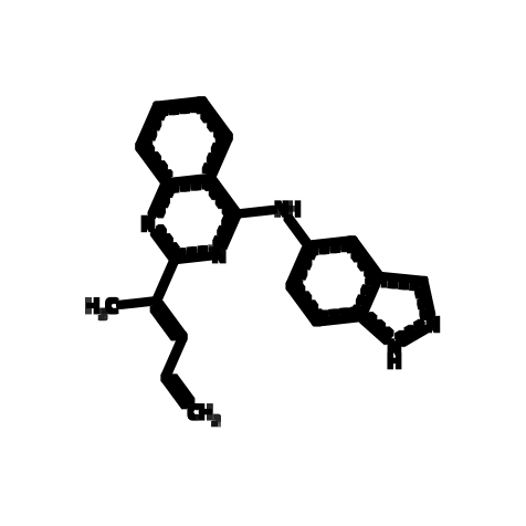 C=C/C=C(\C)c1nc(Nc2ccc3[nH]ncc3c2)c2ccccc2n1